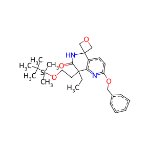 CCC1(CCO[Si](C)(C)C(C)(C)C)C(=O)NC2(COC2)c2ccc(OCc3ccccc3)nc21